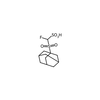 O=S(=O)(O)C(F)S(=O)(=O)C12CC3CC(CC(C3)C1)C2